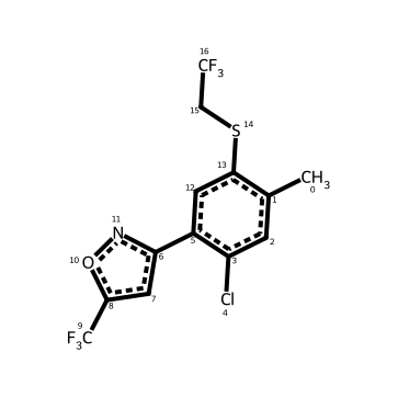 Cc1cc(Cl)c(-c2cc(C(F)(F)F)on2)cc1SCC(F)(F)F